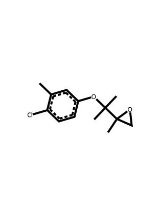 Cc1cc(OC(C)(C)C2(C)CO2)ccc1Cl